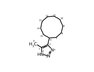 Cc1[nH]nnc1C1CCCCCCCCC1